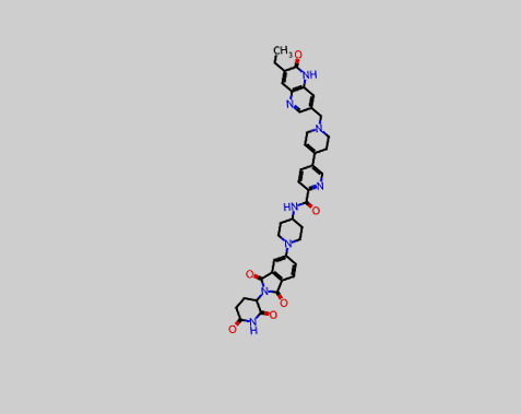 CCc1cc2ncc(CN3CC=C(c4ccc(C(=O)NC5CCN(c6ccc7c(c6)C(=O)N(C6CCC(=O)NC6=O)C7=O)CC5)nc4)CC3)cc2[nH]c1=O